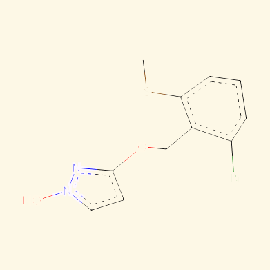 CSc1cccc(Br)c1COc1ccn(O)n1